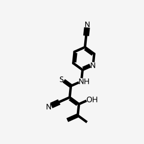 C=C(C)C(O)=C(C#N)C(=S)Nc1ccc(C#N)cn1